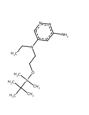 CCN(CCO[Si](C)(C)C(C)(C)C)c1cnnc(N)c1